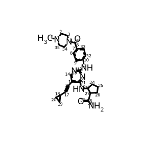 CN1CCN(C(=O)c2ccc(Nc3ncc(C#CC4CC4)c(NC4CCCC4C(N)=O)n3)cc2)CC1